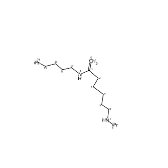 C=C(CCCCCNC(C)C)NCCCCC(C)C